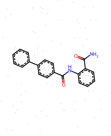 NC(=O)c1ccccc1NC(=O)c1ccc(-c2ccccc2)cc1